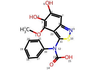 COc1c(O)c(O)cc2nsc(N(C(=O)O)c3ccccc3)c12